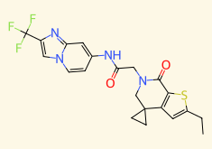 CCc1cc2c(s1)C(=O)N(CC(=O)Nc1ccn3cc(C(F)(F)F)nc3c1)CC21CC1